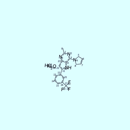 Cc1nc(N2CC=CC2)c2[nH]c(-c3cccc(C(F)(F)F)c3)cc2n1.Cl.O